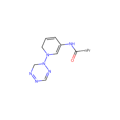 CCCC(=O)NC1=CN(N2CN=NC=N2)CC=C1